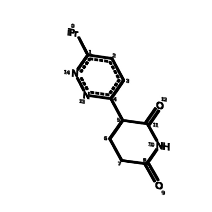 CC(C)c1ccc(C2CCC(=O)NC2=O)nn1